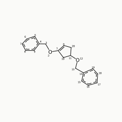 C1=C(OCc2ccccc2)CC(OCc2ccccc2)C1